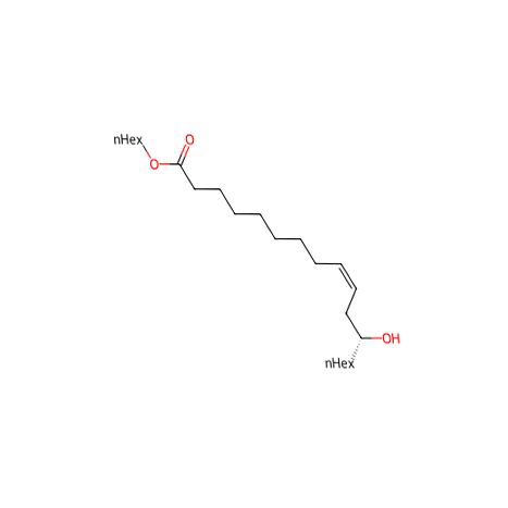 CCCCCCOC(=O)CCCCCCC/C=C\C[C@H](O)CCCCCC